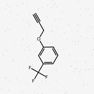 C#CCOc1[c]ccc(C(F)(F)F)c1